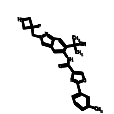 Cc1cccc(-c2nc(C(=O)Nc3cc4cn(CC5(F)CNC5)nc4cc3C(C)(C)O)co2)c1